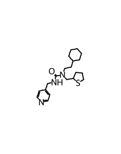 O=C(NCc1ccncc1)N(CCC1CCCCC1)CC1CCCS1